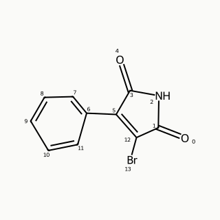 O=C1NC(=O)C(c2ccccc2)=C1Br